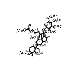 CCCCC1C(C)(C)[C@@H](OC(C)=O)CC[C@]1(C)C1CC(OC(C)=O)[C@@H]2C(C(C)(CCCNCC(=O)OC)O[C@H]3O[C@H](COC(C)=O)[C@@H](OC(C)=O)[C@H](OC(C)=O)C3OC(C)=O)CC[C@@]2(C)C1